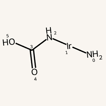 [NH2][Ir][NH]C(=O)O